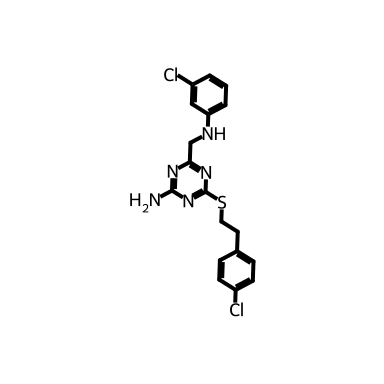 Nc1nc(CNc2cccc(Cl)c2)nc(SCCc2ccc(Cl)cc2)n1